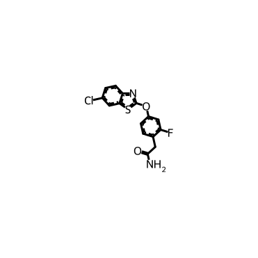 NC(=O)Cc1ccc(Oc2nc3ccc(Cl)cc3s2)cc1F